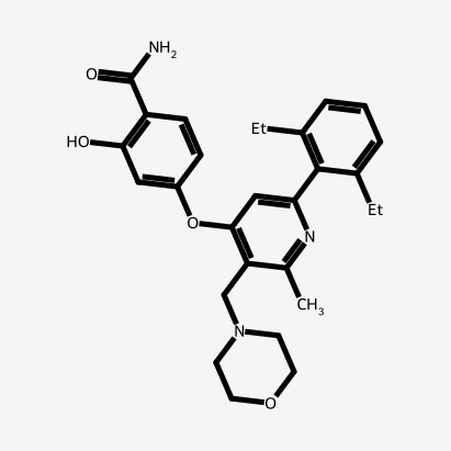 CCc1cccc(CC)c1-c1cc(Oc2ccc(C(N)=O)c(O)c2)c(CN2CCOCC2)c(C)n1